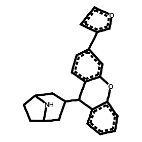 c1ccc2c(c1)Oc1cc(-c3ccoc3)ccc1C2C1CC2CCC(C1)N2